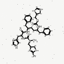 CC(C)C1=NC(CN(C)C(=O)NC(Cc2c[nH]cn2)C(=O)NC(CCC(Cc2ccccc2)NC(=O)OCC2CN=CS2)Cc2ccccc2)CS1